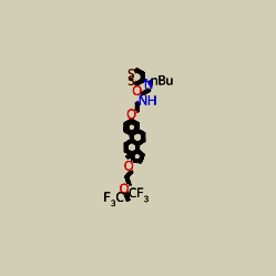 CCCCN(CC(=O)NCCOc1ccc2c(c1)CCC1C2CCC2(C)C(OCCCOC(C)(C(F)(F)F)C(F)(F)F)CCC12)C1CCSSC1